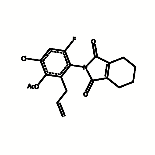 C=CCc1c(OC(C)=O)c(Cl)cc(F)c1N1C(=O)C2=C(CCCC2)C1=O